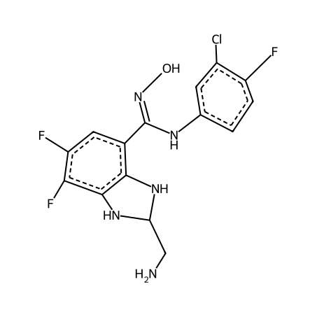 NCC1Nc2c(/C(=N/O)Nc3ccc(F)c(Cl)c3)cc(F)c(F)c2N1